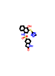 O=C1Cc2cc(S(=O)(=O)Nc3cc(Sc4nc[nH]n4)c(O)c4ccccc34)ccc2N1